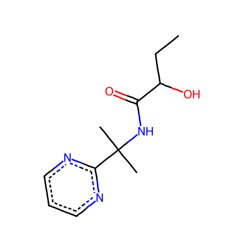 CCC(O)C(=O)NC(C)(C)c1ncccn1